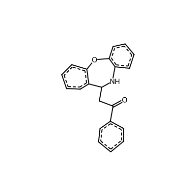 O=C(CC1Nc2ccccc2Oc2ccccc21)c1ccccc1